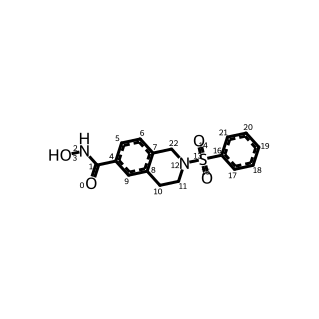 O=C(NO)c1ccc2c(c1)CCN(S(=O)(=O)c1ccccc1)C2